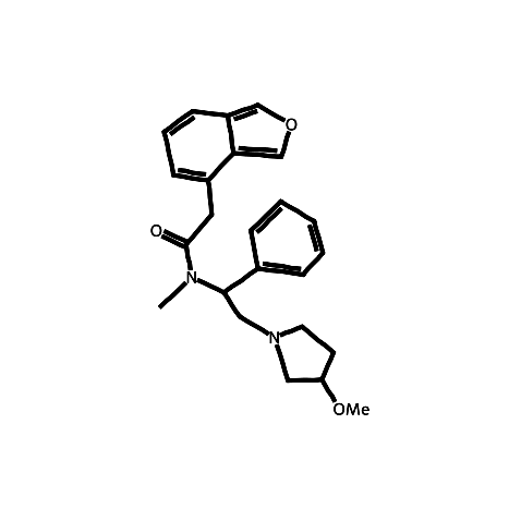 COC1CCN(CC(c2ccccc2)N(C)C(=O)Cc2cccc3cocc23)C1